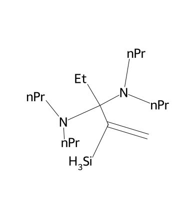 C=C([SiH3])C(CC)(N(CCC)CCC)N(CCC)CCC